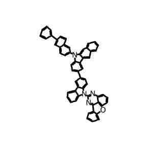 c1ccc(-c2ccc3cc(-n4c5ccc(-c6ccc7c(c6)c6ccccc6n7-c6nc7c8c(cccc8n6)Oc6ccccc6-7)cc5c5cc6ccccc6cc54)ccc3c2)cc1